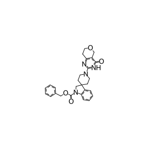 O=C(OCc1ccccc1)N1CC2(CCN(c3nc4c(c(=O)[nH]3)COCC4)CC2)c2ccccc21